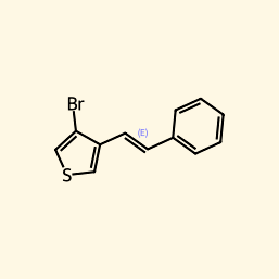 Brc1cscc1/C=C/c1ccccc1